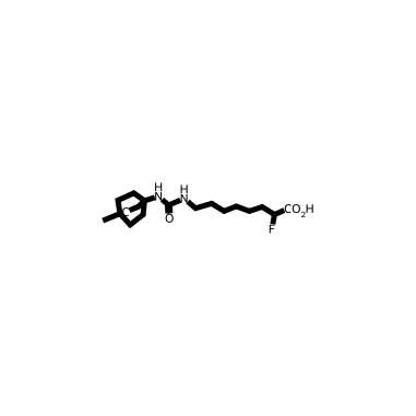 CC12CCC(NC(=O)NCCCCCCC(F)C(=O)O)(CC1)CC2